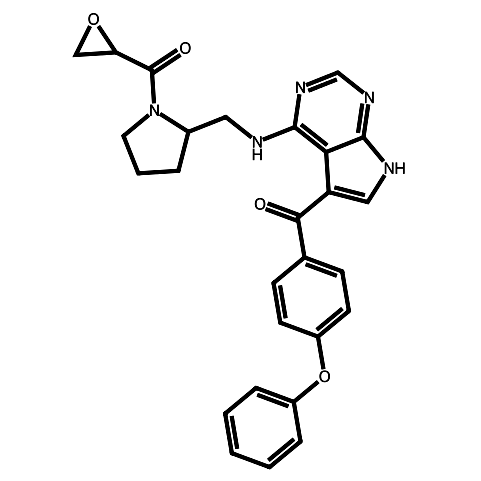 O=C(c1ccc(Oc2ccccc2)cc1)c1c[nH]c2ncnc(NCC3CCCN3C(=O)C3CO3)c12